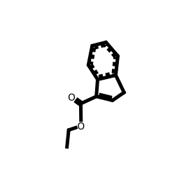 CCOC(=O)C1=CCc2ccccc21